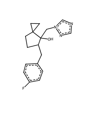 OC1(Cn2cncn2)C(Cc2ccc(F)cc2)CCC12CC2